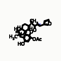 CC(=O)Oc1cc(O)c2c3c1O[C@H]1[C@H](N(C)C(=O)/C=C/c4ccoc4)CC[C@H]4[C@@H](C2)N(C)CC[C@@]341